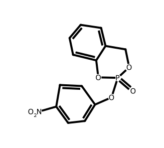 O=[N+]([O-])c1ccc(OP2(=O)OCc3ccccc3O2)cc1